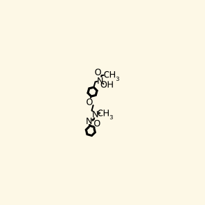 CC(=O)N(O)Cc1ccc(OCCN(C)c2nc3ccccc3o2)cc1